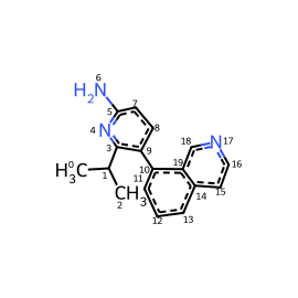 CC(C)c1nc(N)ccc1-c1cccc2ccncc12